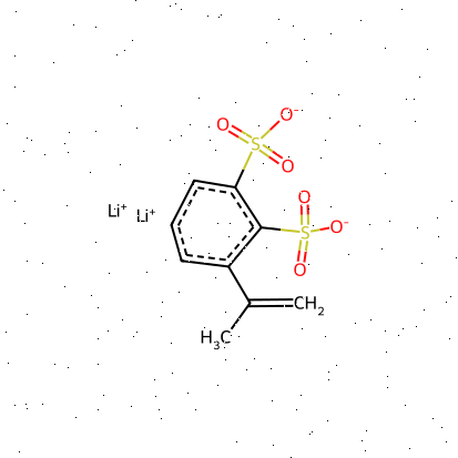 C=C(C)c1cccc(S(=O)(=O)[O-])c1S(=O)(=O)[O-].[Li+].[Li+]